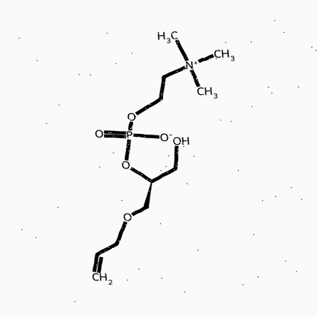 C=CCOC[C@H](CO)OP(=O)([O-])OCC[N+](C)(C)C